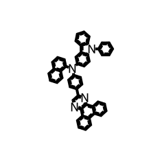 c1ccc(-n2c3ccccc3c3cc(N(c4ccc(-c5cnc6c7ccccc7c7ccccc7c6n5)cc4)c4cccc5ccccc45)ccc32)cc1